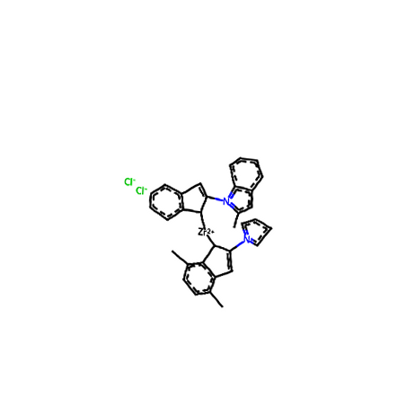 Cc1ccc(C)c2c1C=C(n1cccc1)[CH]2[Zr+2][CH]1C(n2c(C)cc3ccccc32)=Cc2ccccc21.[Cl-].[Cl-]